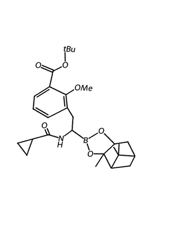 COc1c(CC(NC(=O)C2CC2)B2OC3CC4CC(C4(C)C)C3(C)O2)cccc1C(=O)OC(C)(C)C